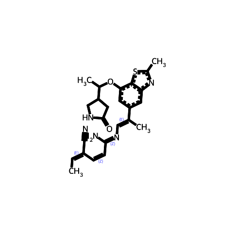 C\C=C(C#N)/C=C\C(N)=N\C=C(/C)c1cc(OC(C)C2CNC(=O)C2)c2sc(C)nc2c1